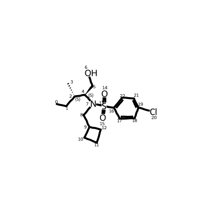 CC[C@H](C)[C@@H](CO)N(CC1CCC1)S(=O)(=O)c1ccc(Cl)cc1